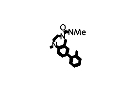 CNC(=O)N1CCN(C)c2ccc(-c3ccccc3C)cc2C1